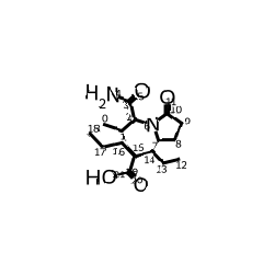 CCC(C(N)=O)N1CCCC1=O.CCCC(CCC)C(=O)O